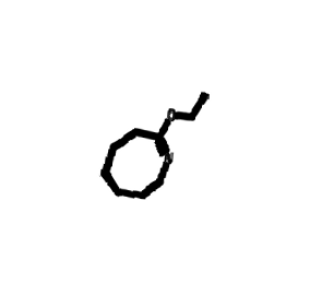 CCOC1=NCCCCCC1